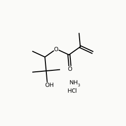 C=C(C)C(=O)OC(C)C(C)(C)O.Cl.N